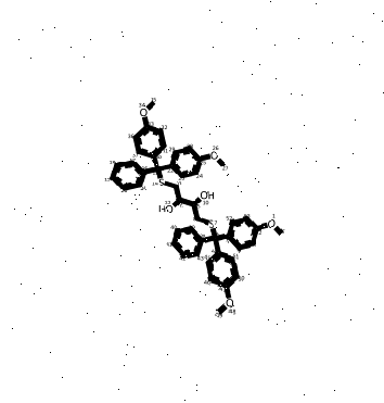 COc1ccc(C(SCC(O)C(O)CSC(c2ccccc2)(c2ccc(OC)cc2)c2ccc(OC)cc2)(c2ccccc2)c2ccc(OC)cc2)cc1